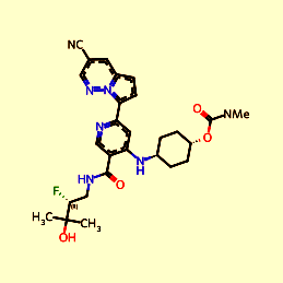 CNC(=O)O[C@H]1CC[C@H](Nc2cc(-c3ccc4cc(C#N)cnn34)ncc2C(=O)NC[C@@H](F)C(C)(C)O)CC1